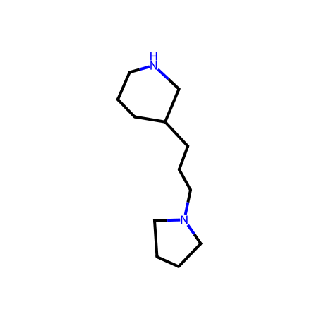 C1CNCC(CCCN2CCCC2)C1